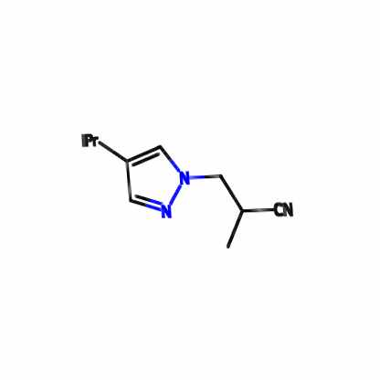 CC(C#N)Cn1cc(C(C)C)cn1